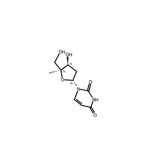 C[C@@]1(CO)O[C@@H](n2ccc(=O)[nH]c2=O)C[C@@H]1O